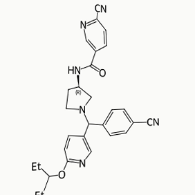 CCC(CC)Oc1ccc(C(c2ccc(C#N)cc2)N2CC[C@@H](NC(=O)c3ccc(C#N)nc3)C2)cn1